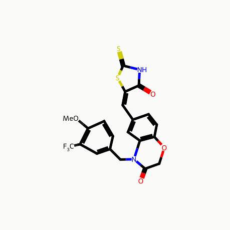 COc1ccc(CN2C(=O)COc3ccc(C=C4SC(=S)NC4=O)cc32)cc1C(F)(F)F